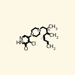 C=C/C=C\C(=C)[C@H](C)CN1CCN(c2cn[nH]c(=O)c2Cl)CC1